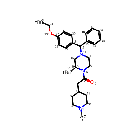 CC(=O)N1CCC(CC(=O)N2CCN(C(c3ccccc3)c3ccc(OCC(C)(C)C)cc3)C[C@@H]2C(C)(C)C)CC1